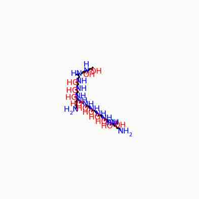 CC(O)CCN[C@H](O)CCNC(C)CCNC(O)CCNC(O)CCNC(O)C(CCCCN)NC(O)CCNC(O)CCNC(O)CCNC(O)CCNC(O)CCNC(O)C(CCCCN)NC(C)O